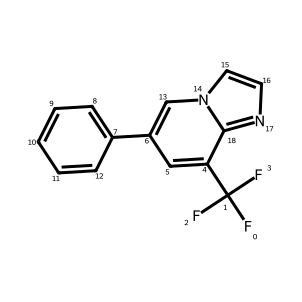 FC(F)(F)c1cc(-c2ccccc2)cn2ccnc12